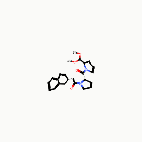 CCOC(OCC)C1CCCN1C(=O)[C@@H]1CCCN1C(=O)C[C@H]1CCc2ccccc2C1